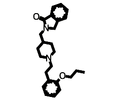 CCCOc1ccccc1CCN1CCC(CN2Cc3ccccc3C2=O)CC1